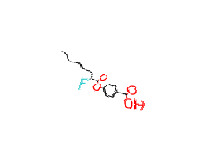 CCCCCCC(F)C(=O)Oc1ccc(C(=O)O)cc1